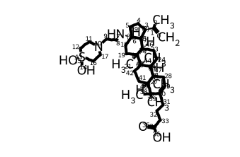 C=C(C)[C@@H]1CC[C@]2(NCCN3CCS(O)(O)CC3)CC[C@]3(C)[C@H](CC[C@@H]4[C@@]5(C)CC=C(CCCC(=O)O)C(C)(C)[C@@H]5CC[C@]43C)[C@@H]12